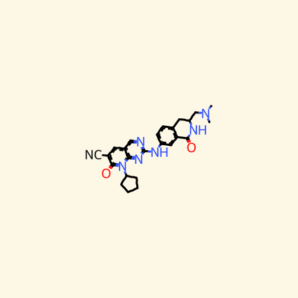 CN(C)CC1Cc2ccc(Nc3ncc4cc(C#N)c(=O)n(C5CCCC5)c4n3)cc2C(=O)N1